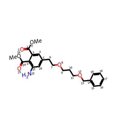 COC(=O)c1cc(CCOCCCOCc2ccccc2)cc(N)c1C(=O)OC